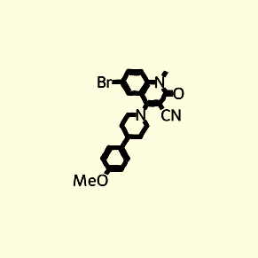 COc1ccc(C2CCN(c3c(C#N)c(=O)n(C)c4ccc(Br)cc34)CC2)cc1